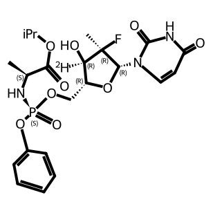 [2H][C@@]1(O)[C@@H](CO[P@@](=O)(N[C@@H](C)C(=O)OC(C)C)Oc2ccccc2)O[C@@H](n2ccc(=O)[nH]c2=O)[C@]1(C)F